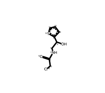 O=C(CCl)NCC(O)c1cccs1